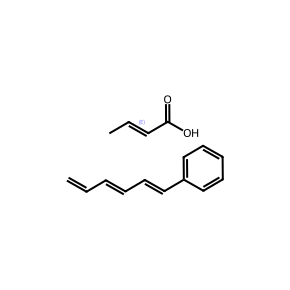 C/C=C/C(=O)O.C=CC=CC=Cc1ccccc1